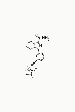 CN1CC[C@@](C)(C#Cc2cccc(-n3nc(C(N)=O)c4ccncc43)c2)C1=O